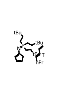 C=CC=CCCC.CC(C)(C)CCP(CCC(C)(C)C)(CCC(C)(C)C)=NC1=CC=CC1.[Ti]